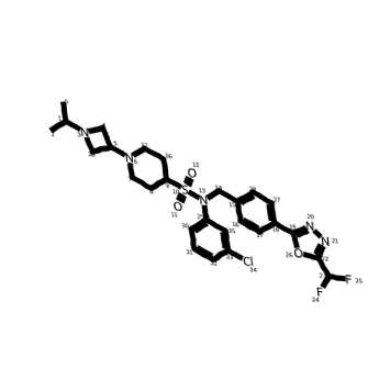 CC(C)N1CC(N2CCC(S(=O)(=O)N(Cc3ccc(-c4nnc(C(F)F)o4)cc3)c3cccc(Cl)c3)CC2)C1